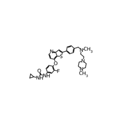 CN1CCN(CCN(C)Cc2ccc(-c3cc4nccc(Oc5ccc(NC(=O)NC6CC6)cc5F)c4s3)cc2)CC1